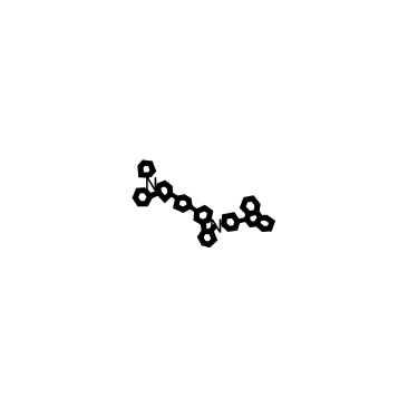 c1ccc(-n2c3ccccc3c3cc(-c4ccc(-c5ccc6c(c5)c5ccccc5n6-c5ccc(-c6cc7ccccc7c7ccccc67)cc5)cc4)ccc32)cc1